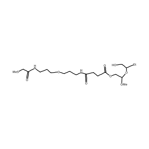 CCC(CO)OC(COC(=O)CCC(=O)NCCCOCCCNC(=O)CSC)OC